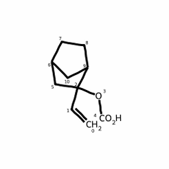 C=CC1(OC(=O)O)CC2CCC1C2